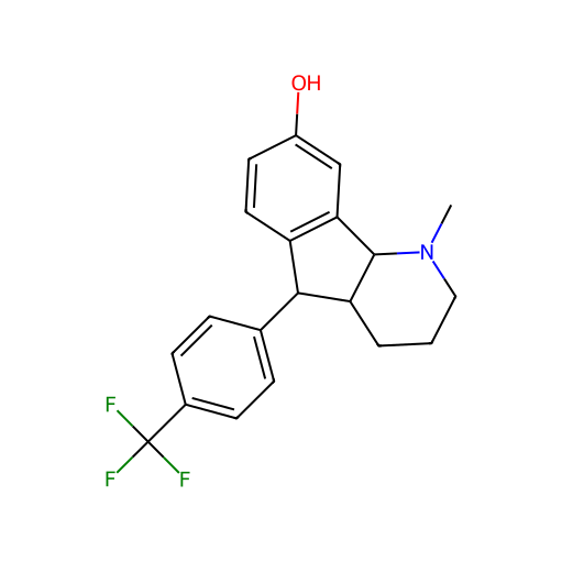 CN1CCCC2C(c3ccc(C(F)(F)F)cc3)c3ccc(O)cc3C21